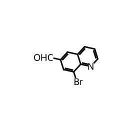 O=Cc1cc(Br)c2ncccc2c1